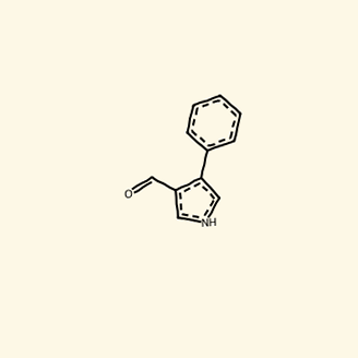 O=Cc1c[nH]cc1-c1ccccc1